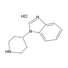 Cl.c1ccc2c(c1)ncn2C1CCNCC1